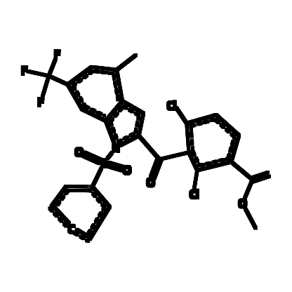 C=C(OC)c1ccc(Cl)c(C(=O)c2cc3c(C)cc(C(F)(F)F)cc3n2S(=O)(=O)c2ccccc2)c1Cl